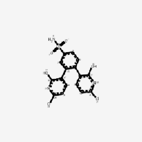 NS(=O)(=O)c1ccc(-c2ccc(Cl)nc2O)c(-c2ccc(Cl)nc2O)c1